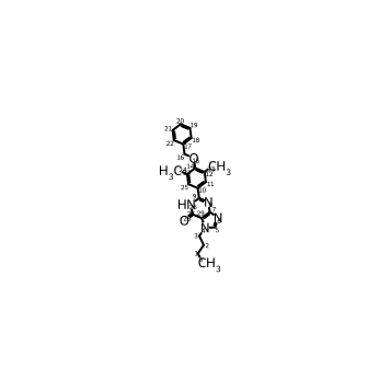 CCCCn1cnc2nc(-c3cc(C)c(OCc4ccccc4)c(C)c3)[nH]c(=O)c21